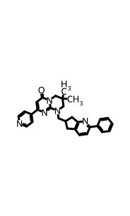 CC1(C)CN(CC2Cc3ccc(-c4ccccc4)nc3C2)c2nc(-c3ccncc3)cc(=O)n2C1